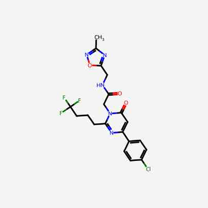 Cc1noc(CNC(=O)Cn2c(CCCC(F)(F)F)nc(-c3ccc(Cl)cc3)cc2=O)n1